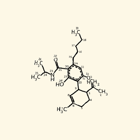 C=C(C)C1CCC(C)=CC1c1c(O)cc(CCCCC)c(C(=O)NC(C)C)c1O